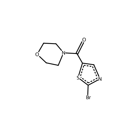 O=C(c1cnc(Br)s1)N1CCOCC1